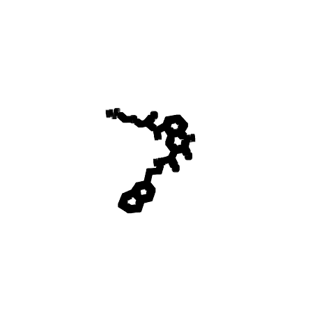 CCOCC(=O)Nc1cccc2[nH]c(=O)c(C(=O)NCCc3ccc4ccccc4c3)cc12